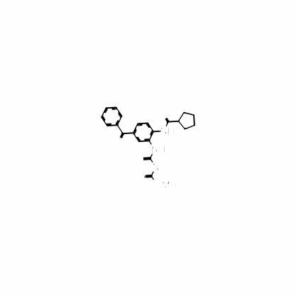 COC(=O)NC(=S)Nc1cc(C(=O)c2ccccc2)ccc1NC(=O)C1CCCC1